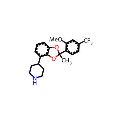 COc1cc(C(F)(F)F)ccc1C1(C)Oc2cccc(C3CCNCC3)c2O1